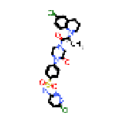 C[C@H](C(=O)N1CCN(c2ccc(S(=O)(=O)Nc3ccc(Cl)nn3)cc2)C(=O)C1)N1CCCc2cc(Cl)ccc21